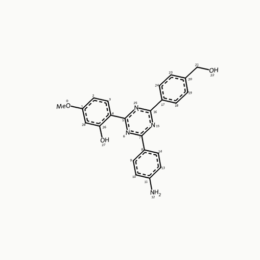 COc1ccc(-c2nc(-c3ccc(N)cc3)nc(-c3ccc(CO)cc3)n2)c(O)c1